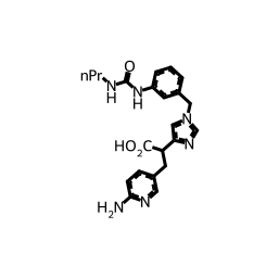 CCCNC(=O)Nc1cccc(Cn2cnc(C(Cc3ccc(N)nc3)C(=O)O)c2)c1